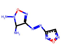 NC1C(N=Nc2cnon2)=NON1N